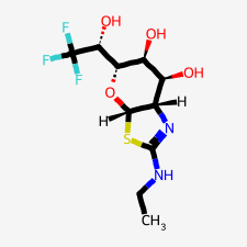 CCNC1=N[C@H]2[C@H](O)[C@H](O)[C@@H]([C@@H](O)C(F)(F)F)O[C@H]2S1